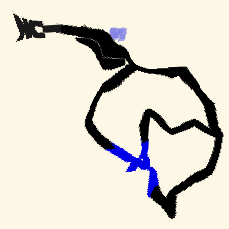 N#C/C=C1/CC2CCN(C1)C2